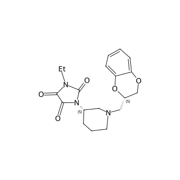 CCN1C(=O)C(=O)N([C@H]2CCCN(C[C@H]3COc4ccccc4O3)C2)C1=O